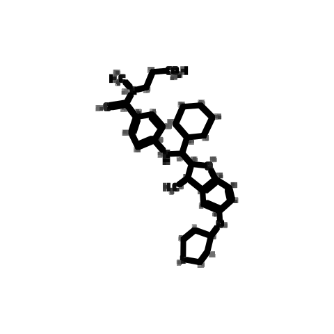 CC1c2cc(OC3CCSCC3)ccc2OC1C(Nc1ccc(C(=O)N(C)CCC(=O)O)cc1)C1CCCCC1